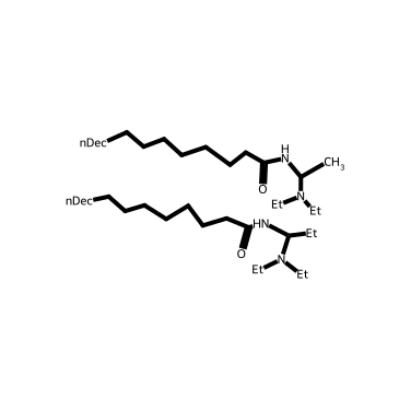 CCCCCCCCCCCCCCCCCC(=O)NC(C)N(CC)CC.CCCCCCCCCCCCCCCCCC(=O)NC(CC)N(CC)CC